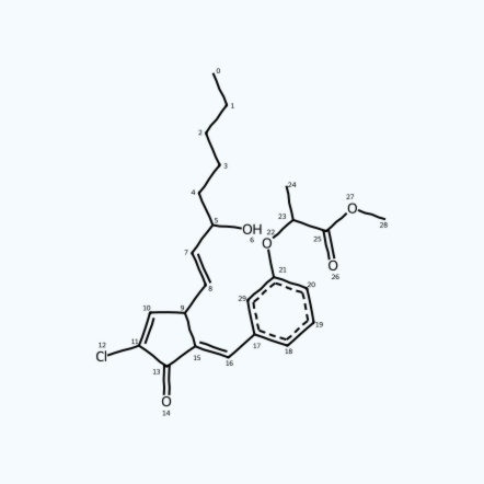 CCCCCC(O)C=CC1C=C(Cl)C(=O)C1=Cc1cccc(OC(C)C(=O)OC)c1